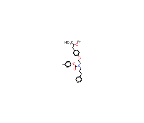 CCOC(Cc1ccc(OCCN(CCCc2ccccc2)C(=O)Oc2ccc(C)cc2)cc1)C(=O)O